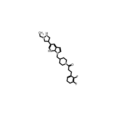 CCN1CC(C2=CNC3C(=C2)C=CN3CC2CCN(C(=O)CCC3=CCCC(F)=C3F)CC2)CN1